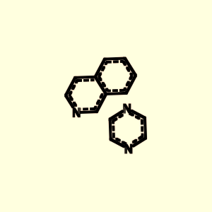 c1ccc2cnccc2c1.c1cnccn1